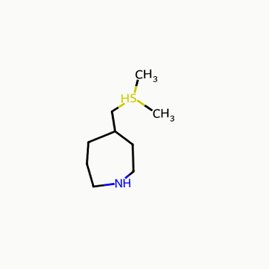 C[SH](C)CC1CCCNCC1